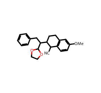 COc1ccc2c(c1)CCC(C(Cc1ccccc1)C1OCCO1)C2C#N